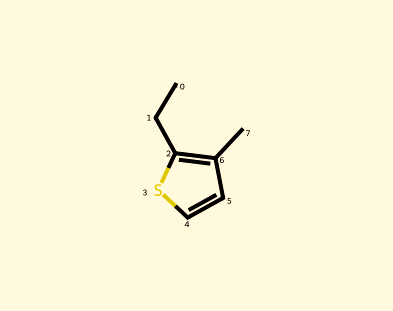 [CH2]Cc1sccc1C